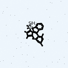 CC1=C(C)C(C)[C]([Zr]([CH3])([CH3])(=[SiH2])[CH]2C=C(c3c(C)cc(C)cc3C)c3ccccc32)=C1C